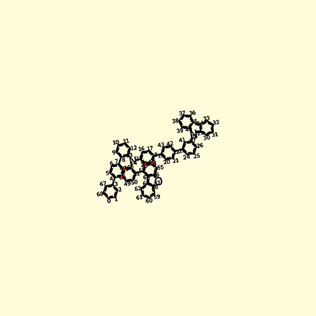 c1ccc(-c2ccc(-c3ccccc3N(c3ccc(-c4ccc(-c5cccc(-n6c7ccccc7c7ccccc76)c5)cc4)cc3)c3ccccc3-c3cccc4oc5ccccc5c34)cc2)cc1